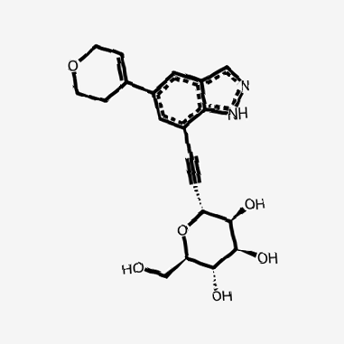 OC[C@H]1O[C@H](C#Cc2cc(C3=CCOCC3)cc3cn[nH]c23)[C@@H](O)[C@@H](O)[C@@H]1O